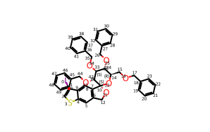 Ic1csc2cc3c(cc12)[C@]1(OC3)O[C@H](COCc2ccccc2)[C@@H](OCc2ccccc2)[C@H](OCc2ccccc2)[C@H]1OCc1ccccc1